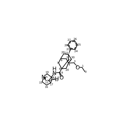 CCOCC12CC3CC(C(=O)N[C@H]4CN5CCC4CC5)(C1)C[C@](c1ccccc1)(C3)C2